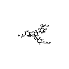 COc1ccc(Oc2nc(-c3cncc(OC)c3)ncc2NC2CCCC(N)C2)cc1